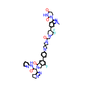 Cn1nc(N2CCC(=O)NC2=O)c2ccc(C3CCN(CC(=O)N4CC5(C4)CN(c4ccc(-c6cc(F)c7c(c6)C(=O)N(C(C(=O)Nc6ccccn6)c6ncn8c6CCC8)C7)cc4)C5)CC3(F)F)cc21